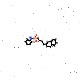 O=P(O)(CCCCc1ccc2ccccc2c1)Nc1ccccc1